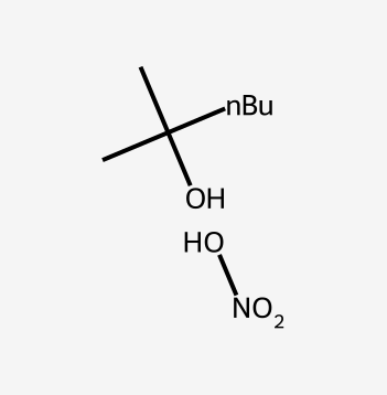 CCCCC(C)(C)O.O=[N+]([O-])O